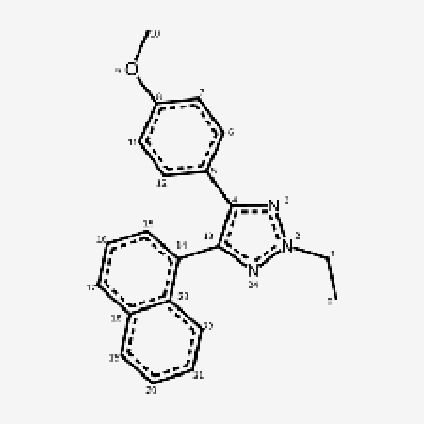 CCn1nc(-c2ccc(OC)cc2)c(-c2cccc3ccccc23)n1